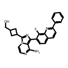 Nc1nccn2c(C3CC(CO)C3)nc(-c3ccc4ccc(-c5ccccc5)nc4c3F)c12